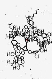 CCCCCNc1ccc(NC(=O)NC(=O)C[C@@H]2NC(=O)[C@H](NC(=O)[C@@H](CC(C)C)NC)[C@H](O)c3ccc(c(C)c3)Oc3cc4cc(c3O[C@@H]3O[C@H](CO)[C@@H](O)[C@H](O)[C@H]3O[C@H]3C[C@](C)(N)[C@H](O)[C@H](C)O3)Oc3ccc(cc3Cl)[C@@H](O)[C@@H]3NC(=O)[C@H](NC(=O)[C@@H]4NC2=O)c2ccc(O)c(c2)-c2c(O)cc(O)cc2[C@@H](C(=O)NC2C4CC5CC(C4)CC2C5)NC3=O)cn1